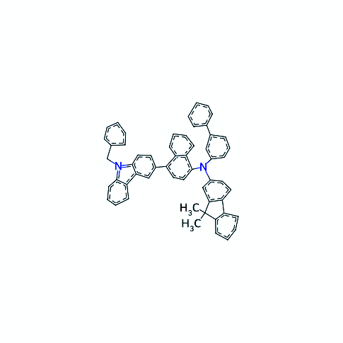 CC1(C)c2ccccc2-c2ccc(N(c3cccc(-c4ccccc4)c3)c3ccc(-c4ccc5c(c4)c4ccccc4n5Cc4ccccc4)c4ccccc34)cc21